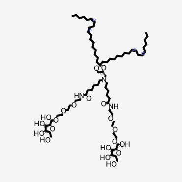 CCCCC/C=C\C/C=C\CCCCCCCCC1(CCCCCCCC/C=C\C/C=C\CCCCC)OC[C@H](CN(CCCCCC(=O)NCCOCCOCCO[C@@H](O)C2OC(CO)[C@@H](O)[C@@H]2O)CCCCCC(=O)NCCOCCOCCO[C@@H](O)C2OC(CO)[C@@H](O)[C@@H]2O)O1